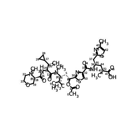 CC(=O)O[C@H](C[C@H](C(C)C)N(C)C(=O)[C@@H](NC(=O)[C@H]1COCCN1C)[C@@H](C)C1CC1)c1nc(C(=O)N[C@@H](Cc2nc(C)cs2)C[C@H](C)C(=O)O)cs1